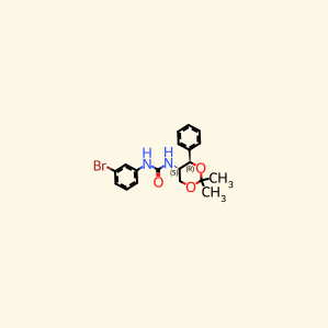 CC1(C)OC[C@H](NC(=O)Nc2cccc(Br)c2)[C@@H](c2ccccc2)O1